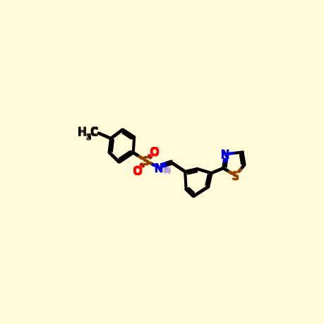 Cc1ccc(S(=O)(=O)/N=C/c2cccc(-c3nccs3)c2)cc1